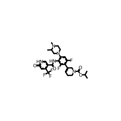 CC(C)OC(=O)N1CCC=C(c2c(F)cc(N3CCN(C)C(C)C3)c(NC(=O)c3c[nH]c(=O)cc3C(F)(F)F)c2F)C1